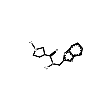 CN(Cc1nc2ccccc2s1)C(=O)C1CCN(C#N)C1